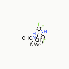 C=C(CCc1c(-c2ccc(F)cc2)[nH]c2c(F)c(F)ccc12)NC(C=O)CCNC